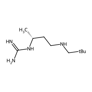 C[C@H](CCNCC(C)(C)C)NC(=N)N